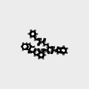 CC1CC2CCCC(C2)C1NC(=O)Cn1cccc(NC(=O)C(CCC(=O)C(=O)NCc2ccccc2)NC(=O)c2cc3ccccc3o2)c1=O